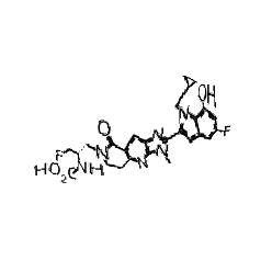 Cn1c(-c2cc3cc(F)cc(O)c3n2CC2CC2)nc2cc3c(nc21)CCN(C[C@@H](CF)NC(=O)O)C3=O